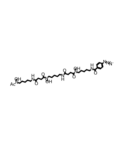 CC(=O)N(O)CCCCCNC(=O)CCC(=O)N(O)CCCCCNC(=O)CCC(=O)N(O)CCCCCNC(=O)c1ccc(N=[N+]=[N-])cc1